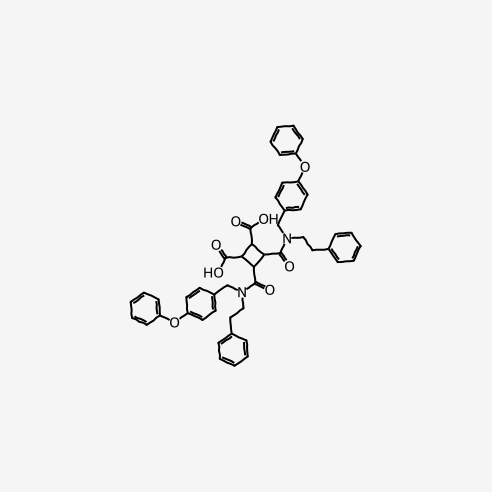 O=C(O)C1C(C(=O)O)C(C(=O)N(CCc2ccccc2)Cc2ccc(Oc3ccccc3)cc2)C1C(=O)N(CCc1ccccc1)Cc1ccc(Oc2ccccc2)cc1